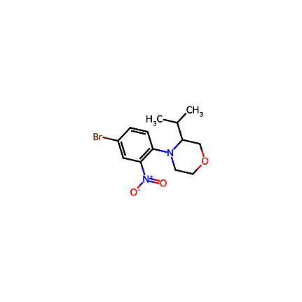 CC(C)C1COCCN1c1ccc(Br)cc1[N+](=O)[O-]